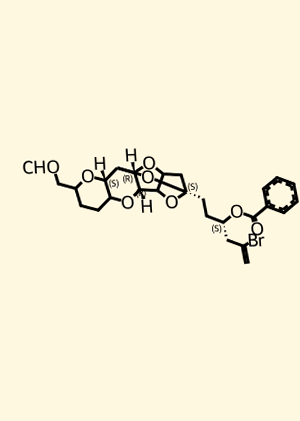 C=C(Br)C[C@H](CC[C@@]12CC3O[C@H]4C(O1)[C@H]1OC(CC=O)CCC1O[C@H]4C3O2)OC(=O)c1ccccc1